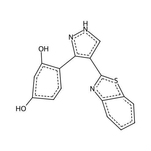 Oc1ccc(-c2n[nH]cc2-c2nc3ccccc3s2)c(O)c1